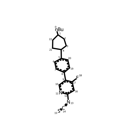 CCCCC1CCC(c2ccc(-c3cnc(N=C=S)cc3F)cc2)CC1